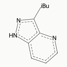 CCC(C)c1n[nH]c2cccnc12